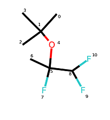 CC(C)(C)OC(C)(F)C(F)F